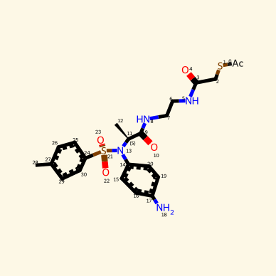 CC(=O)SCC(=O)NCCNC(=O)[C@H](C)N(c1ccc(N)cc1)S(=O)(=O)c1ccc(C)cc1